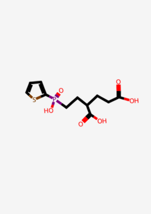 O=C(O)CCC(CCP(=O)(O)c1cccs1)C(=O)O